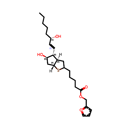 CCCCC[C@H](O)/C=C/[C@@H]1[C@H]2CC(CCCCC(=O)OCc3ccco3)S[C@@H]2C[C@H]1O